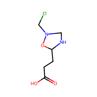 O=C(O)CCC1NCN(CCl)O1